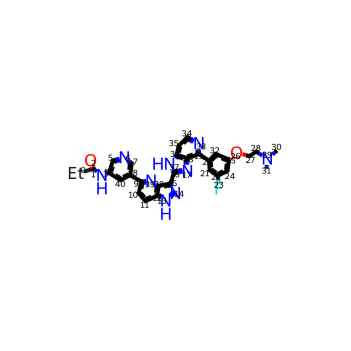 CCC(=O)Nc1cncc(-c2ccc3[nH]nc(-c4nc5c(-c6cc(F)cc(OCCN(C)C)c6)nccc5[nH]4)c3n2)c1